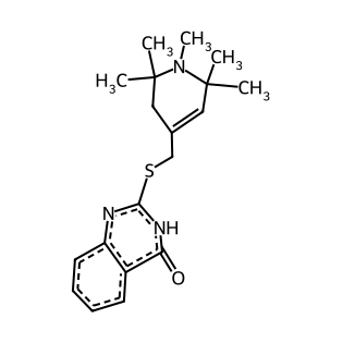 CN1C(C)(C)C=C(CSc2nc3ccccc3c(=O)[nH]2)CC1(C)C